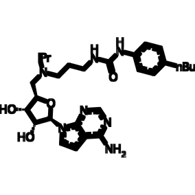 CCCCc1ccc(NC(=O)NCCCN(C[C@H]2O[C@@H](n3ccc4c(N)ncnc43)[C@H](O)[C@@H]2O)C(C)C)cc1